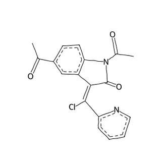 CC(=O)c1ccc2c(c1)/C(=C(\Cl)c1ccccn1)C(=O)N2C(C)=O